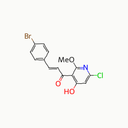 COc1nc(Cl)cc(O)c1C(=O)C=Cc1ccc(Br)cc1